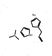 C=CCC1=CC=CC1.CN(C)C.[Ru].c1cc[nH]c1